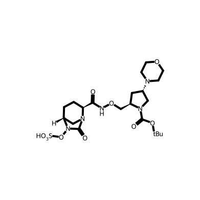 CC(C)(C)OC(=O)N1C[C@@H](N2CCOCC2)C[C@@H]1CONC(=O)[C@@H]1CC[C@@H]2CN1C(=O)N2OS(=O)(=O)O